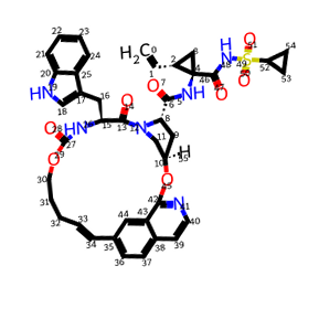 C=C[C@@H]1C[C@]1(NC(=O)[C@@H]1C[C@@H]2CN1C(=O)[C@H](Cc1c[nH]c3ccccc13)NC(=O)OCCC/C=C/c1ccc3ccnc(c3c1)O2)C(=O)NS(=O)(=O)C1CC1